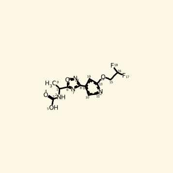 CC(NC(=O)O)c1nc(-c2ccnc(OCC(F)F)c2)no1